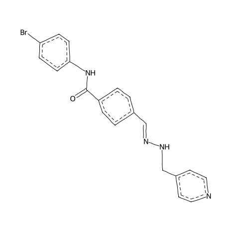 O=C(Nc1ccc(Br)cc1)c1ccc(/C=N/NCc2ccncc2)cc1